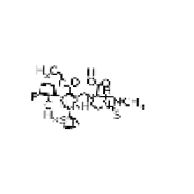 CCOC(=O)C1=C(CN2CCN3C(=S)N(C)C[C@H]3C2C(=O)O)NC(c2nccs2)=NC1c1cccc(F)c1C